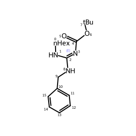 CCCCCCN/C(=N\C(=O)OC(C)(C)C)NCc1ccccc1